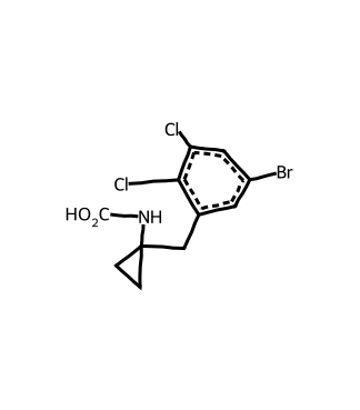 O=C(O)NC1(Cc2cc(Br)cc(Cl)c2Cl)CC1